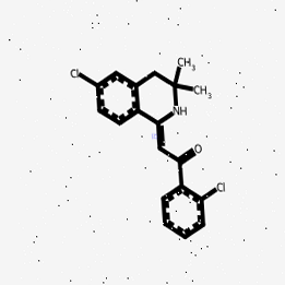 CC1(C)Cc2cc(Cl)ccc2/C(=C/C(=O)c2ccccc2Cl)N1